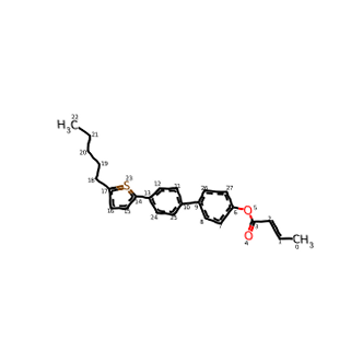 CC=CC(=O)Oc1ccc(-c2ccc(-c3ccc(CCCCC)s3)cc2)cc1